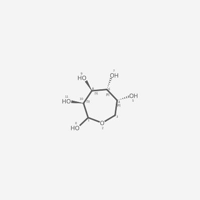 OC1OC[C@@H](O)[C@@H](O)[C@H](O)[C@@H]1O